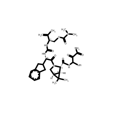 C=C(C)[C@@H](COC(=O)N(C)C)NC(=O)N[C@H](C(=O)N1C[C@H]2[C@@H]([C@H]1C(=O)NC(CCC)C(=O)C(N)=O)C2(C)C)C1Cc2ccccc2C1